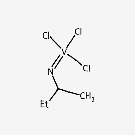 CCC(C)[N]=[V]([Cl])([Cl])[Cl]